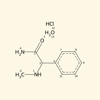 CNC(C(N)=O)c1ccccc1.Cl.O